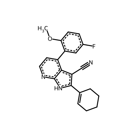 COc1ccc(F)cc1-c1ccnc2[nH]c(C3=CCCCC3)c(C#N)c12